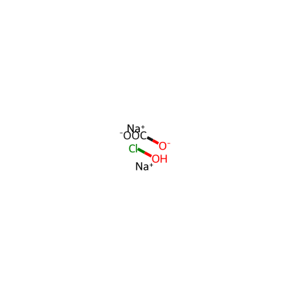 O=C([O-])[O-].OCl.[Na+].[Na+]